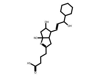 N#CC12CC(O)C(/C=C/C(O)C3CCCCC3)C1CC(CCCC(=O)S)=N2